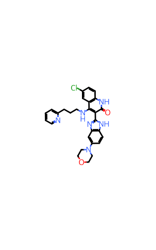 O=c1[nH]c2ccc(Cl)cc2c(NCCCc2ccccn2)c1-c1nc2cc(N3CCOCC3)ccc2[nH]1